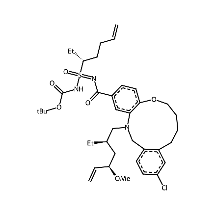 C=CCC[C@@H](CC)S(=O)(=NC(=O)c1ccc2c(c1)N(C[C@H](CC)C[C@H](C=C)OC)Cc1ccc(Cl)cc1CCCCO2)NC(=O)OC(C)(C)C